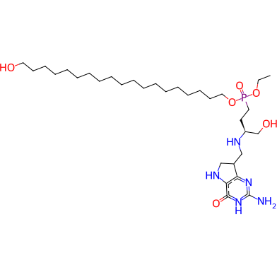 CCOP(=O)(CC[C@@H](CO)NCC1CNc2c1nc(N)[nH]c2=O)OCCCCCCCCCCCCCCCCCCCO